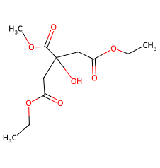 CCOC(=O)CC(O)(CC(=O)OCC)C(=O)OC